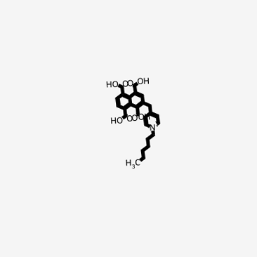 CCCCCC[n+]1ccc(Cc2cc(C(=O)O)c3c(C(=O)O)ccc(C(=O)O)c3c2C(=O)O)cc1